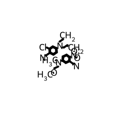 C=CCN(CC=C)c1ccc(C#N)c(Cl)c1.COCCN(C)c1ccc([N+](=O)[O-])c(C#N)c1